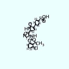 CC(OC(=O)Nc1cnoc1-c1ccc(-c2ccc(CC(=O)O)cc2)c(=O)[nH]1)c1ccccc1Cl